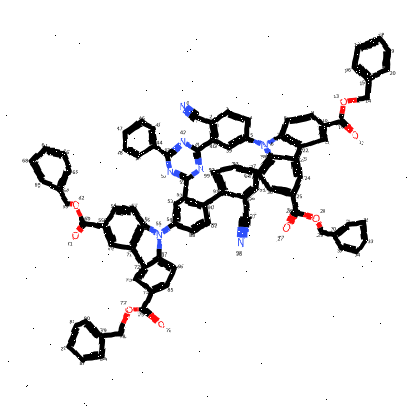 N#Cc1ccc(-n2c3ccc(C(=O)OCc4ccccc4)cc3c3cc(C(=O)OCc4ccccc4)ccc32)cc1-c1nc(-c2ccccc2)nc(-c2cc(-n3c4ccc(C(=O)OCc5ccccc5)cc4c4cc(C(=O)OCc5ccccc5)ccc43)ccc2-c2ccccc2C#N)n1